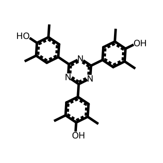 Cc1cc(-c2nc(-c3cc(C)c(O)c(C)c3)nc(-c3cc(C)c(O)c(C)c3)n2)cc(C)c1O